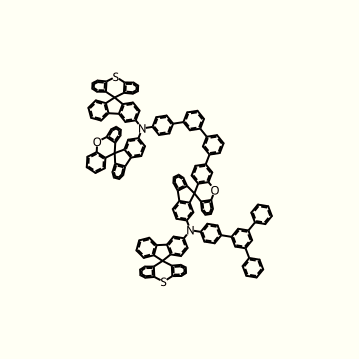 c1ccc(-c2cc(-c3ccccc3)cc(-c3ccc(N(c4ccc5c(c4)-c4ccccc4C54c5ccccc5Sc5ccccc54)c4ccc5c(c4)C4(c6ccccc6Oc6cc(-c7cccc(-c8cccc(-c9ccc(N(c%10ccc%11c(c%10)-c%10ccccc%10C%11%10c%11ccccc%11Sc%11ccccc%11%10)c%10ccc%11c(c%10)C%10(c%12ccccc%12Oc%12ccccc%12%10)c%10ccccc%10-%11)cc9)c8)c7)ccc64)c4ccccc4-5)cc3)c2)cc1